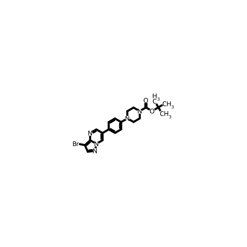 CC(C)(C)OC(=O)N1CCN(c2ccc(-c3cnc4c(Br)cnn4c3)cc2)CC1